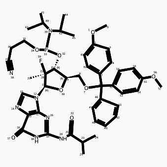 COc1ccc(C(OC[C@H]2O[C@@H](n3cnc4c(=O)[nH]c(NC(=O)C(C)C)nc43)[C@@](C)(F)[C@@H]2OP(OCCC#N)N(C(C)C)C(C)C)(c2ccccc2)c2ccc(OC)cc2)cc1